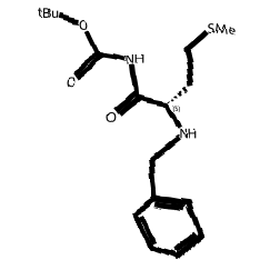 CSCC[C@H](NCc1ccccc1)C(=O)NC(=O)OC(C)(C)C